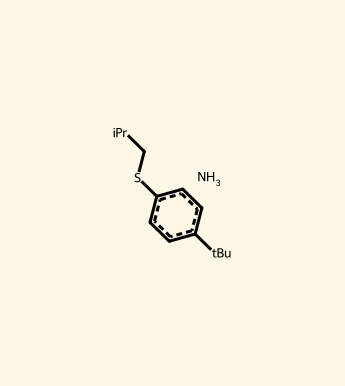 CC(C)CSc1ccc(C(C)(C)C)cc1.N